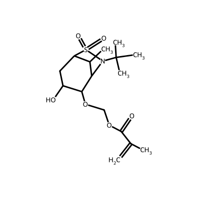 C=C(C)C(=O)OCOC1C(O)CC2C(C)C1N(C(C)(C)C)S2(=O)=O